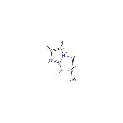 Cc1nc2c(C)c(C(C)C)ccn2c1C